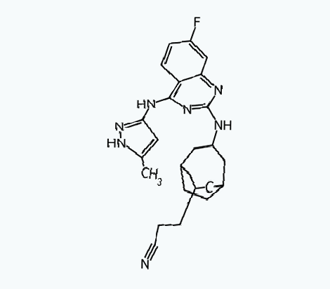 Cc1cc(Nc2nc(NC3CC4CCC(CC(CCC#N)C4)C3)nc3cc(F)ccc23)n[nH]1